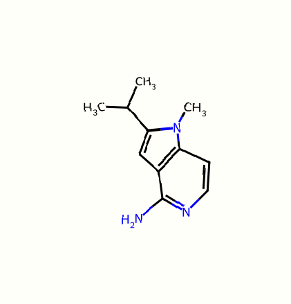 CC(C)c1cc2c(N)nccc2n1C